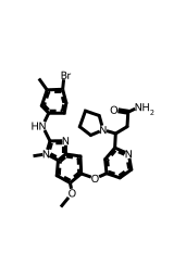 COc1cc2c(cc1Oc1ccnc(C(CC(N)=O)N3CCCC3)c1)nc(Nc1ccc(Br)c(C)c1)n2C